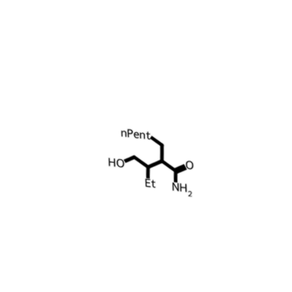 CCCCCCC(C(N)=O)C(CC)CO